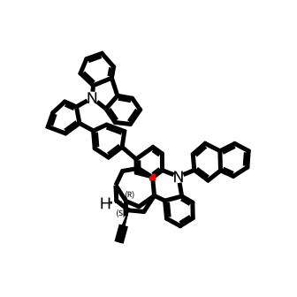 C#C[C@H]1CC2CCCC(c3ccccc3N(c3ccc(-c4ccc(-c5ccccc5-n5c6ccccc6c6ccccc65)cc4)cc3)c3ccc4ccccc4c3)(C1)C[C@H]2C